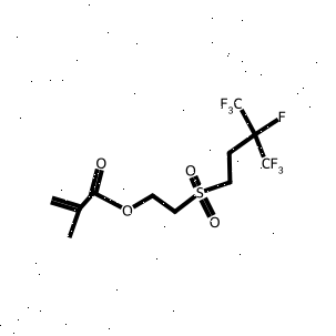 C=C(C)C(=O)OCCS(=O)(=O)CCC(F)(C(F)(F)F)C(F)(F)F